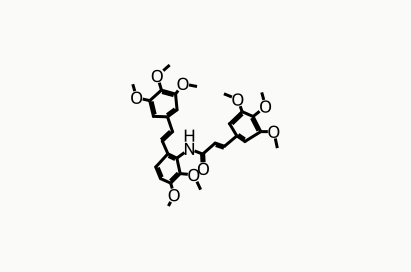 COc1cc(C=Cc2ccc(OC)c(OC)c2NC(=O)/C=C/c2cc(OC)c(OC)c(OC)c2)cc(OC)c1OC